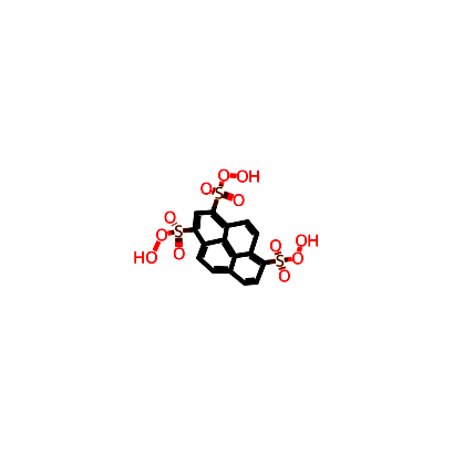 O=S(=O)(OO)c1ccc2ccc3c(S(=O)(=O)OO)cc(S(=O)(=O)OO)c4ccc1c2c34